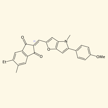 CCc1cc2c(cc1C)C(=O)/C(=C\c1cc3c(cc(-c4ccc(OC)cc4)n3C)o1)C2=O